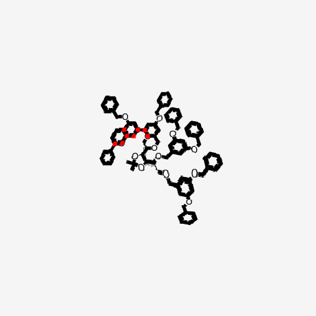 CC1(C)O[C@H]([C@@H](COCc2cc(OCc3ccccc3)cc(OCc3ccccc3)c2)OCc2cc(OCc3ccccc3)cc(OCc3ccccc3)c2)[C@@H]([C@@H](COCc2cc(OCc3ccccc3)cc(OCc3ccccc3)c2)OCc2cc(OCc3ccccc3)cc(OCc3ccccc3)c2)O1